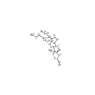 CCO[C@H]1CCC2(C)C(=CCC3C2CCC2(C)C(C(C)CCCC(C)C)CCC32)C1